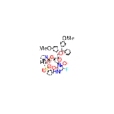 COc1ccc(C(OC[C@H]2O[C@@H](n3c(=O)[nH]cc(F)c3=O)C[C@@H]2O[P@@]2O[C@H](CS(=O)(=O)c3ccccc3)[C@@H]3CCCN32)(c2ccccc2)c2ccc(OC)cc2)cc1